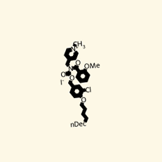 CCCCCCCCCCCCCCOc1ccc(COC(=O)N(Cc2cc[n+](C)cc2)C(=O)c2ccccc2OC)cc1Cl.[I-]